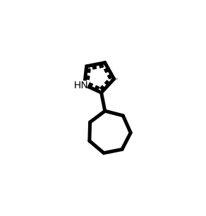 [c]1cc[nH]c1C1CCCCCC1